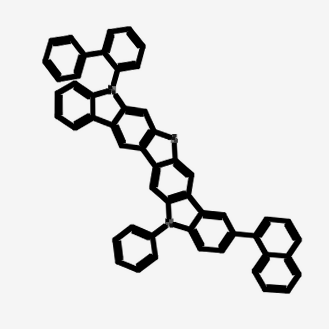 c1ccc(-c2ccccc2-n2c3ccccc3c3cc4c(cc32)sc2cc3c5cc(-c6cccc7ccccc67)ccc5n(-c5ccccc5)c3cc24)cc1